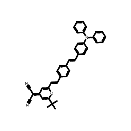 CC(C)(C)C1=CC(=C(C#N)C#N)C=C(/C=C/c2ccc(/C=C/c3ccc(N(c4ccccc4)c4ccccc4)cc3)cc2)O1